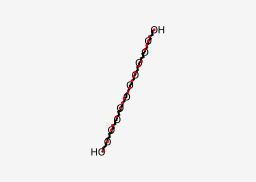 OCCCCOCCCCOCCCCOCCCCOCCCCOCCCCOCCCCOCCCCOCCCCOCCCCOCCCCO